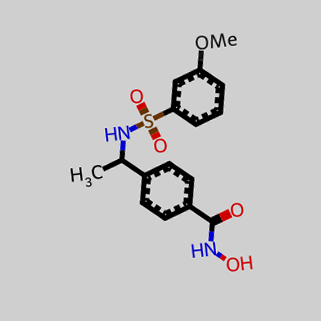 COc1cccc(S(=O)(=O)NC(C)c2ccc(C(=O)NO)cc2)c1